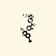 CC1CN(c2c(Br)cnc3cc(C4CC4)ccc23)CCC1C(=O)N1CCn2c(nnc2C(F)(F)F)C1